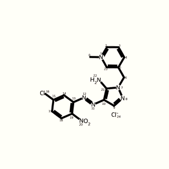 C[n+]1cccc(Cn2ncc(N=Nc3cc(Cl)ccc3[N+](=O)[O-])c2N)c1.[Cl-]